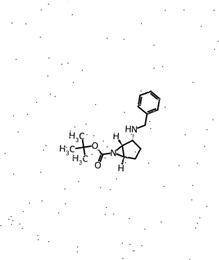 CC(C)(C)OC(=O)N1[C@@H]2[C@H](NCc3ccccc3)CC[C@@H]21